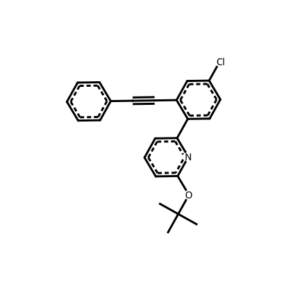 CC(C)(C)Oc1cccc(-c2ccc(Cl)cc2C#Cc2ccccc2)n1